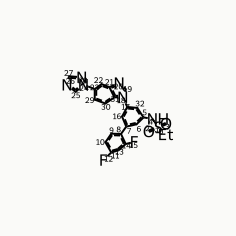 CCS(=O)(=O)Nc1cc(-c2ccc(F)cc2F)cc(-n2cnc3cc(-n4cncn4)ccc32)c1